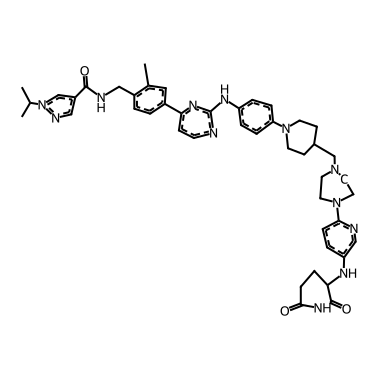 Cc1cc(-c2ccnc(Nc3ccc(N4CCC(CN5CCN(c6ccc(NC7CCC(=O)NC7=O)cn6)CC5)CC4)cc3)n2)ccc1CNC(=O)c1cnn(C(C)C)c1